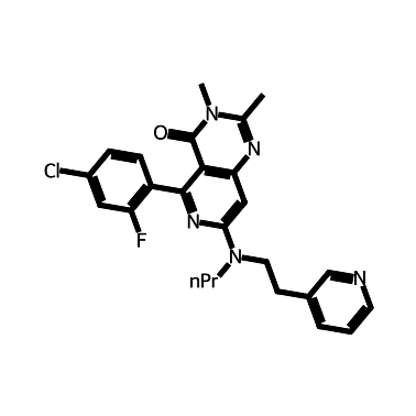 CCCN(CCc1cccnc1)c1cc2nc(C)n(C)c(=O)c2c(-c2ccc(Cl)cc2F)n1